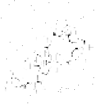 CCCNCC(=O)N(CCC)CC(=O)N(CC(=O)N(CC(=O)N(CCC)CC(=O)N(CCC)CC(=O)N(CC(=O)N(CC(=O)N(CCC)CC(=O)N(CCC)CC(N)=O)C[C@@H](C)O)C[C@@H](C)O)C[C@@H](C)O)C[C@@H](C)O